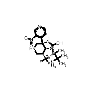 CC(C)(C)[Si](C)(C)O[C@@H]1[C@@H](C(F)(F)F)CNC[C@]1(NC(=O)O)c1ccncc1[N+](=O)[O-]